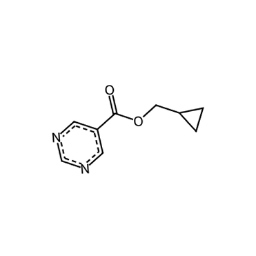 O=C(OCC1CC1)c1cncnc1